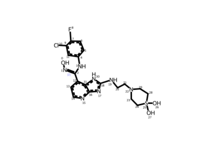 O/N=C(\Nc1ccc(F)c(Cl)c1)c1ccnc2nc(NCCN3CCS(O)(O)CC3)[nH]c12